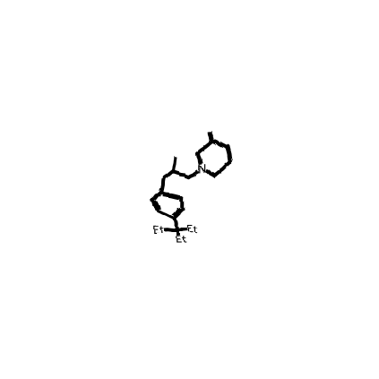 CCC(CC)(CC)c1ccc(CC(C)CN2CCCC(C)C2)cc1